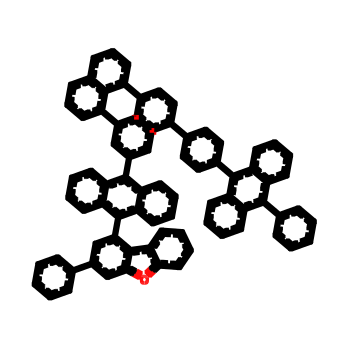 c1ccc(-c2cc(-c3c4ccccc4c(-c4cccc(-c5cccc6cccc(-c7ccc(-c8ccc(-c9c%10ccccc%10c(-c%10ccccc%10)c%10ccccc9%10)cc8)cc7)c56)c4)c4ccccc34)c3c(c2)oc2ccccc23)cc1